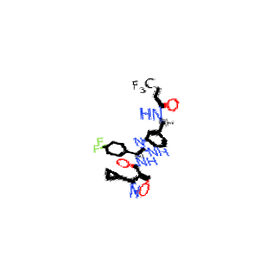 C[C@@H](NC(=O)CCC(F)(F)F)c1ccc2[nH]c([C@@H](NC(=O)c3conc3C3CC3)C3CCC(F)(F)CC3)nc2c1